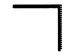 [K+].[K+].[K+].[K+].[K+].[K+].[K+].[K+].[K+].[K+].[K+].[K+].[K+].[K+].[K+].[K+].[K+].[K+].[K+].[K+].[K+].[K+].[K+].[K+].[K+].[K+].[K+].[K+].[K+].[K+].[K+].[K+].[K+].[K+].[K+].[K+].[K+].[K+].[K+].[K+].[K+].[K+].[K+].[K+]